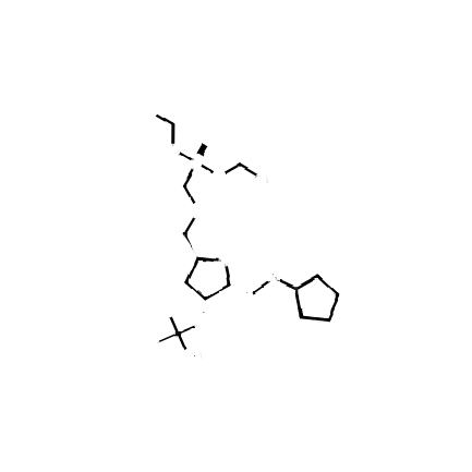 CCOP(=O)(COC[C@@H]1C[C@@H](OC(C)(C)O)[C@@H](CNC2CCCC2)O1)OCC